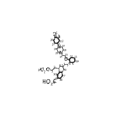 O=C(O)CCCCC(CCc1ccccc1OCCN1CCN(c2ccc(C(F)(F)F)cc2)CC1)Cc1ccc(C(=O)O)cc1